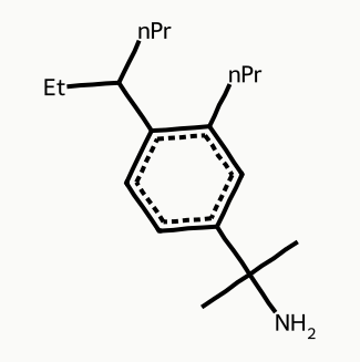 CCCc1cc(C(C)(C)N)ccc1C(CC)CCC